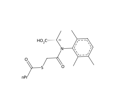 CCCC(=O)SCC(=O)N(c1c(C)ccc(C)c1C)[C@@H](C)C(=O)O